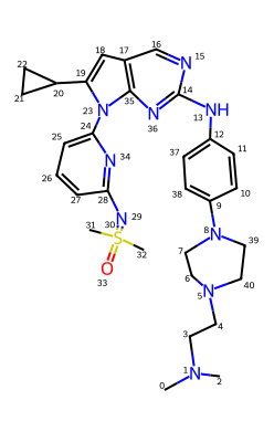 CN(C)CCN1CCN(c2ccc(Nc3ncc4cc(C5CC5)n(-c5cccc(N=S(C)(C)=O)n5)c4n3)cc2)CC1